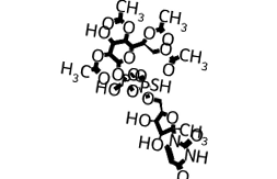 CC(=O)OC[C@H](OC(C)=O)C1OC(OP(=O)(O)OP(=O)(S)OC[C@H]2O[C@@](C)(n3ccc(=O)[nH]c3=O)[C@H](O)[C@@H]2O)C(OC(C)=O)C(O)C1OC(C)=O